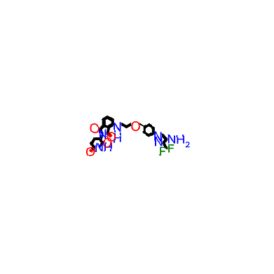 Nc1cn([C@H]2CC[C@H](COCCCNc3cccc4c3C(=O)N(C3CCC(=O)NC3=O)C4=O)CC2)nc1C(F)F